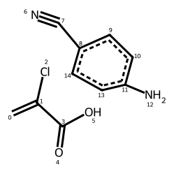 C=C(Cl)C(=O)O.N#Cc1ccc(N)cc1